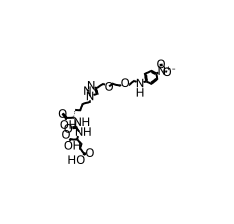 O=C(O)CCC(NC(=O)N[C@@H](CCCCn1cc(COCCOCCNc2ccc([N+](=O)[O-])cc2)nn1)C(=O)O)C(=O)O